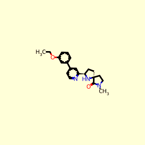 CCOc1cccc(-c2ccnc([C@H]3CC[C@@]4(CCN(C)C4=O)N3)c2)c1